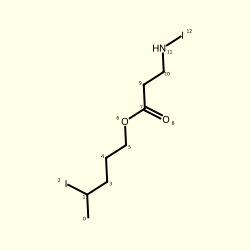 CC(I)CCCOC(=O)CCNI